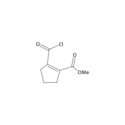 COC(=O)C1=C(C(=O)Cl)CCC1